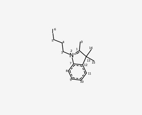 CC1=[N+](CCCI)c2ccccc2C1(C)C